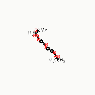 C=C(C)C(=O)OCCOc1ccc(-c2ccc(OC(=O)/C=C/c3ccc(OCCOC(=O)C(=C)CC(=O)OC)cc3)cc2)cc1